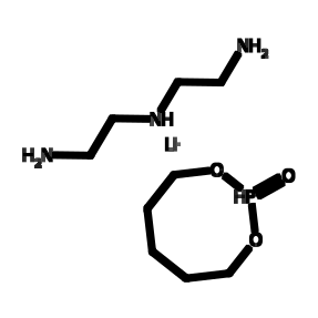 NCCNCCN.O=[PH]1OCCCCCO1.[Li]